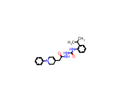 CC(C)c1ccccc1NC(=O)NNC(=O)CC1=CCN(c2ccccc2)CC1